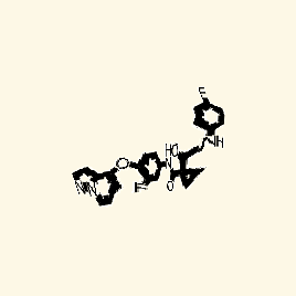 O=C(Nc1ccc(F)cc1)C1(C(=O)Nc2ccc(Oc3cccn4nccc34)c(F)c2)CC1